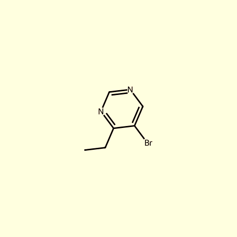 CCc1ncncc1Br